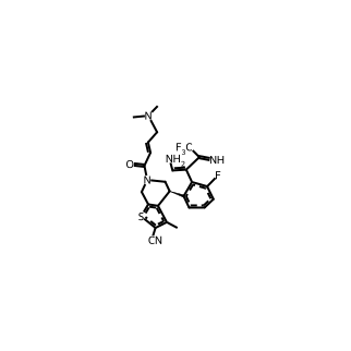 Cc1c(C#N)sc2c1[C@H](c1cccc(F)c1/C(=C/N)C(=N)C(F)(F)F)CN(C(=O)/C=C/CN(C)C)C2